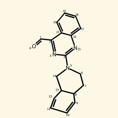 O=Cc1nc(N2CCC3C=CC=CC3C2)nc2ccccc12